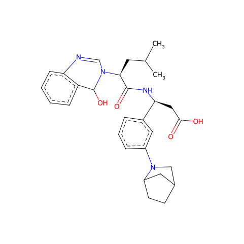 CC(C)C[C@@H](C(=O)N[C@@H](CC(=O)O)c1cccc(N2CC3CCC2C3)c1)N1C=Nc2ccccc2C1O